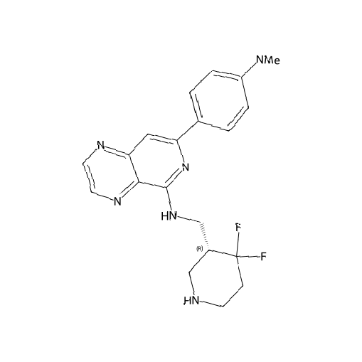 CNc1ccc(-c2cc3nccnc3c(NC[C@H]3CNCCC3(F)F)n2)cc1